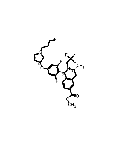 COC(=O)c1ccc2c(c1)C[C@@H](C)N(CC(F)(F)F)[C@@H]2c1c(F)cc(O[C@H]2CCN(CCCF)C2)cc1F